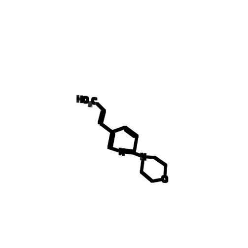 O=C(O)/C=C/c1ccc(N2CCOCC2)nc1